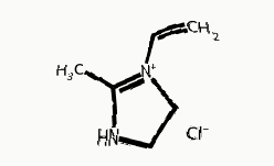 C=C[N+]1=C(C)NCC1.[Cl-]